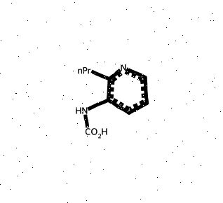 CCCc1ncccc1NC(=O)O